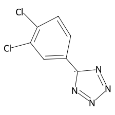 Clc1ccc([C]2N=NN=N2)cc1Cl